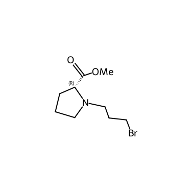 COC(=O)[C@H]1CCCN1CCCBr